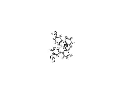 COc1ccc(C(CBr)c2ccc(OC)cc2-c2ccccc2)c(-c2ccccc2)c1